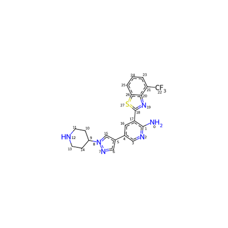 Nc1ncc(-c2cnn(C3CCNCC3)c2)cc1-c1nc2c(C(F)(F)F)cccc2s1